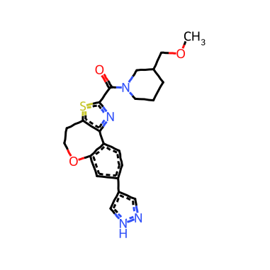 COCC1CCCN(C(=O)c2nc3c(s2)CCOc2cc(-c4cn[nH]c4)ccc2-3)C1